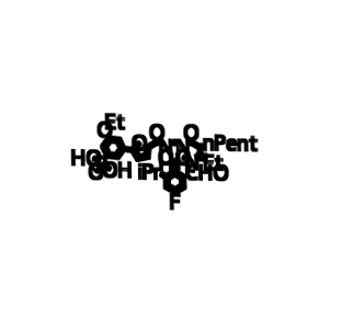 CCCCCC(C(=O)NCNC(=O)c1ccc(-c2cc(OCC)cc(P(=O)(O)O)c2)o1)[C@@H](CC)N(C=O)OC(=O)c1ccc(F)cc1C(C)C